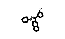 Brc1cccc(-c2nn(-c3ccccc3)c3cc4ccccc4cc23)c1